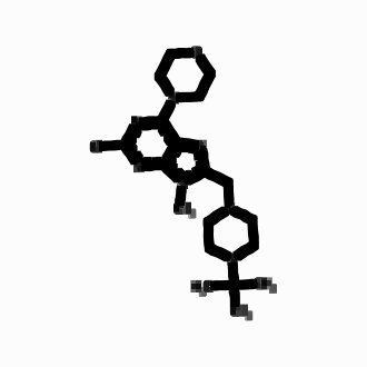 Cn1c(CN2CCN(C(C)(C)C)CC2)nc2c(N3CCOCC3)nc(Cl)nc21